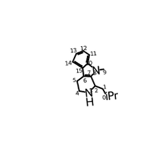 CC(C)CC1NCCc2c1n(C)c1ccccc21